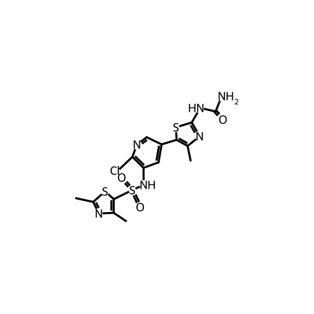 Cc1nc(C)c(S(=O)(=O)Nc2cc(-c3sc(NC(N)=O)nc3C)cnc2Cl)s1